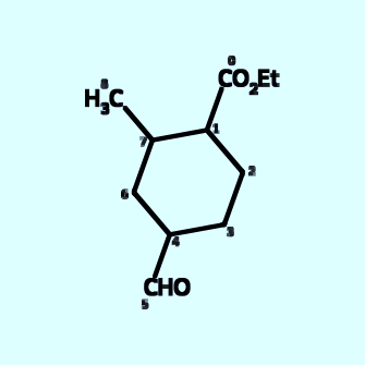 CCOC(=O)C1CCC(C=O)CC1C